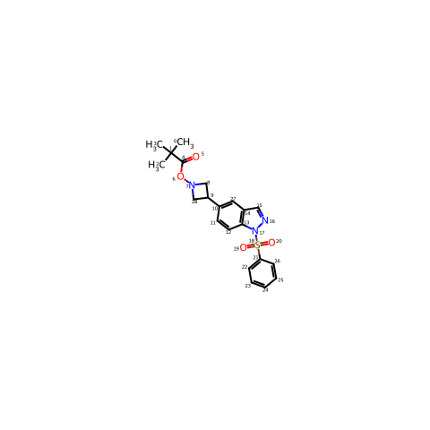 CC(C)(C)C(=O)ON1CC(c2ccc3c(cnn3S(=O)(=O)c3ccccc3)c2)C1